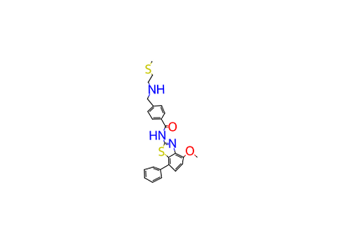 COc1ccc(-c2ccccc2)c2sc(NC(=O)c3ccc(CNCCSC)cc3)nc12